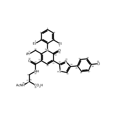 CCc1cccc(CC)c1-n1c(CC(C)C)c(C(=O)NC[C@H](NC(C)=O)C(=O)O)cc(-c2nc(-c3ccc(Cl)cc3)cs2)c1=O